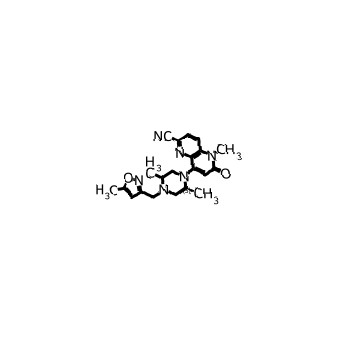 Cc1cc(CN2C[C@H](C)N(c3cc(=O)n(C)c4ccc(C#N)nc34)CC2C)no1